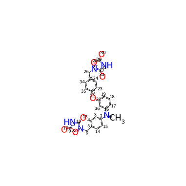 CN(c1ccc(Cn2oc(=O)[nH]c2=O)cc1)c1cccc(Oc2ccc(Cn3oc(=O)[nH]c3=O)cc2)c1